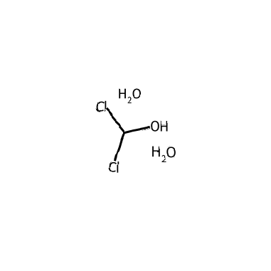 O.O.OC(Cl)Cl